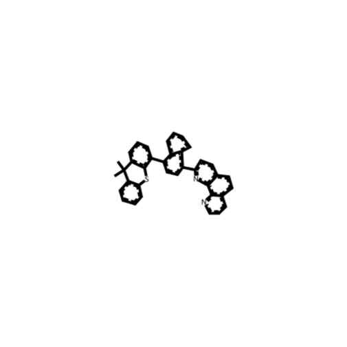 CC1(C)c2ccccc2Sc2c(-c3ccc(-c4ccc5ccc6cccnc6c5n4)c4ccccc34)cccc21